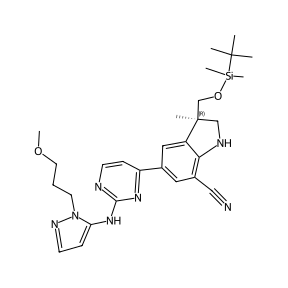 COCCCn1nccc1Nc1nccc(-c2cc(C#N)c3c(c2)[C@@](C)(CO[Si](C)(C)C(C)(C)C)CN3)n1